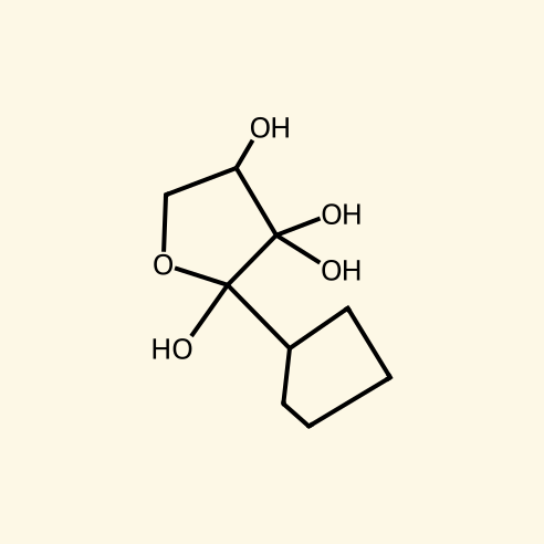 OC1COC(O)(C2CCCC2)C1(O)O